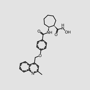 Cc1cc(COc2ccc(C(=O)N[C@H]3CCCCC[C@H]3C(=O)NO)cc2)c2ccccc2n1